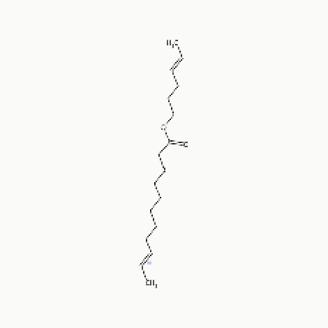 CC=CCCCOC(=O)CCCCCCC/C=C/C